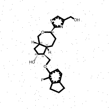 OCc1csc([C@H]2CC[C@H]3[C@@H](CO2)C[C@@H](O)[C@@H]3COc2ccc3c(c2F)CCC3)n1